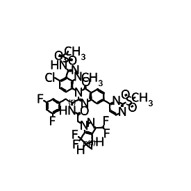 Cn1nc(NS(C)(=O)=O)c2c(Cl)ccc(-n3c([C@H](Cc4cc(F)cc(F)c4)NC(=O)Cn4nc(C(F)F)c5c4C(F)(F)[C@@H]4C[C@H]54)nc4cc(-c5ccnc(S(C)(=O)=O)n5)ccc4c3=O)c21